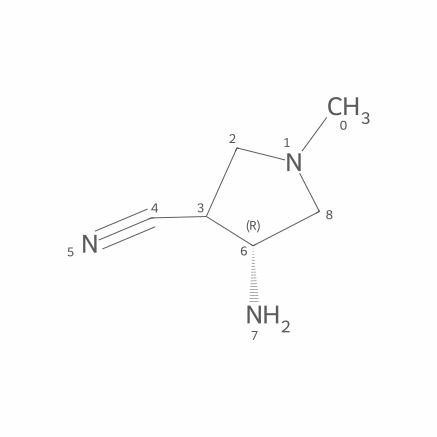 CN1CC(C#N)[C@@H](N)C1